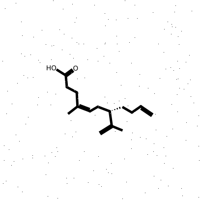 C=CCC[C@@H](C/C=C(/C)CCC(=O)O)C(=C)C